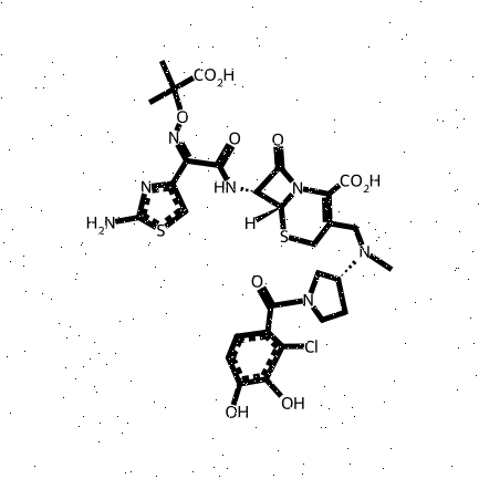 CN(CC1=C(C(=O)O)N2C(=O)[C@@H](NC(=O)/C(=N\OC(C)(C)C(=O)O)c3csc(N)n3)[C@H]2SC1)[C@@H]1CCN(C(=O)c2ccc(O)c(O)c2Cl)C1